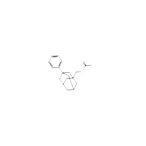 CC(C)(C)C(=O)OCC12CC3CC(C1)CC(c1ccccc1)(C3)C2